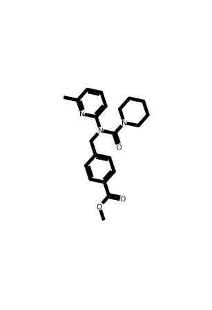 COC(=O)c1ccc(CN(C(=O)N2CCCCC2)c2cccc(C)n2)cc1